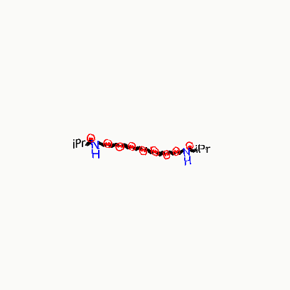 CC(C)CC(=O)NCCOCCOCCOCCOCCOCCOCCOCCNC(=O)CC(C)C